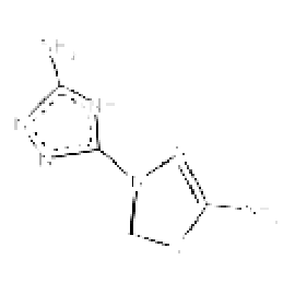 NC1=NN(c2nnc(N)[nH]2)[CH]S1